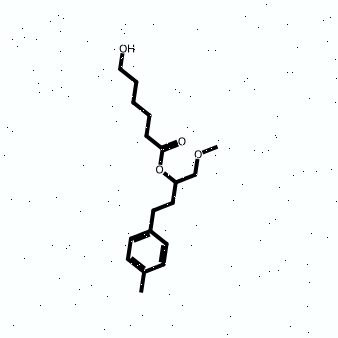 COCC(CCc1ccc(C)cc1)OC(=O)CCCCCO